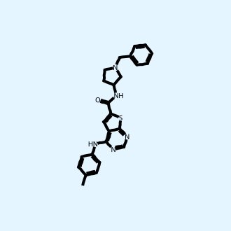 Cc1ccc(Nc2ncnc3sc(C(=O)NC4CCN(Cc5ccccc5)C4)cc23)cc1